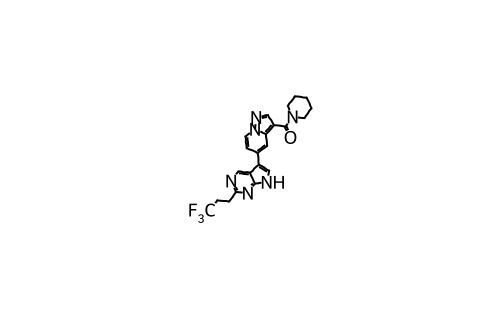 O=C(c1cnn2ccc(-c3c[nH]c4nc(CCC(F)(F)F)ncc34)cc12)N1CCCCC1